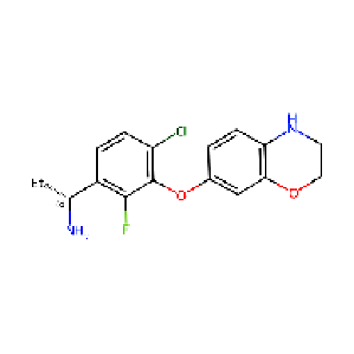 CC[C@@H](N)c1ccc(Cl)c(Oc2ccc3c(c2)OCCN3)c1F